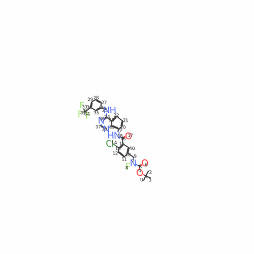 CC(C)(C)OC(=O)N(F)Cc1ccc(Cl)c(C(=O)Nc2cccc3c(Nc4cccc(C(F)(F)F)c4)ncnc23)c1